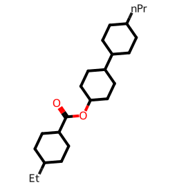 CCCC1CCC(C2CCC(OC(=O)C3CCC(CC)CC3)CC2)CC1